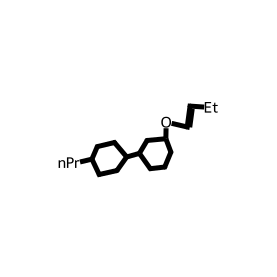 CC/C=C/OC1CCCC(C2CCC(CCC)CC2)C1